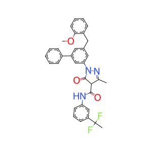 COc1ccccc1Cc1cc(-c2ccccc2)cc(N2N=C(C)C(C(=O)Nc3cccc(C(C)(F)F)c3)C2=O)c1